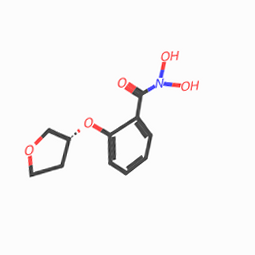 O=C(c1ccccc1O[C@@H]1CCOC1)N(O)O